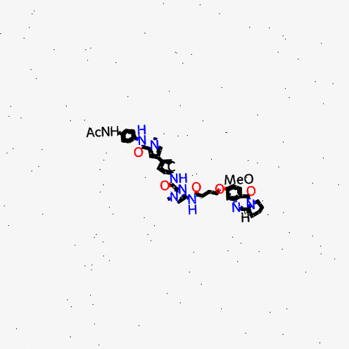 COc1cc2c(cc1OCCCC(=O)Nc1cn(C)c(C(=O)Nc3ccc(-c4cc(C(=O)Nc5ccc(NC(C)=O)cc5)n(C)c4)cc3)n1)N=C[C@@H]1CCCCN1C2=O